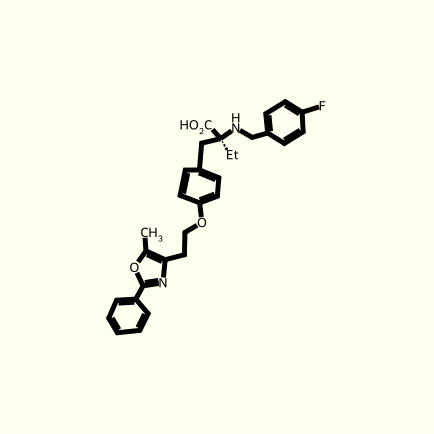 CC[C@@](Cc1ccc(OCCc2nc(-c3ccccc3)oc2C)cc1)(NCc1ccc(F)cc1)C(=O)O